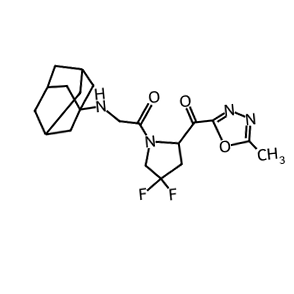 Cc1nnc(C(=O)C2CC(F)(F)CN2C(=O)CNC23CC4CC(CC(C4)C2)C3)o1